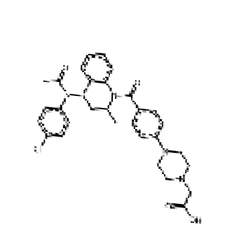 CC(=O)N(c1ccc(Cl)cc1)C1CC(C)N(C(=O)c2ccc(N3CCN(CC(=O)O)CC3)cc2)c2ccccc21